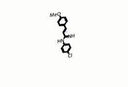 COc1ccc(/C=C/C(=N)Nc2ccc(Cl)cc2)cc1